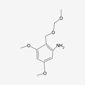 COCOCc1c(N)cc(OC)cc1OC